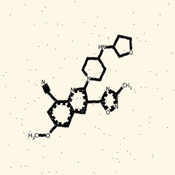 COc1cc(C#N)c2nc(N3CCC(NC4CCOC4)CC3)c(-c3nc(C)no3)cc2c1